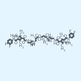 Cc1c(C(=O)C(=O)NCc2cn(CCC(C)(C)OCCC(C)(C)n3cc(CNC(=O)C(=O)c4c(C)c(C(=O)Nc5ccc(F)c(F)c5)n(C)c4C)nn3)nn2)c(C)n(C)c1C(=O)Nc1ccc(F)c(F)c1